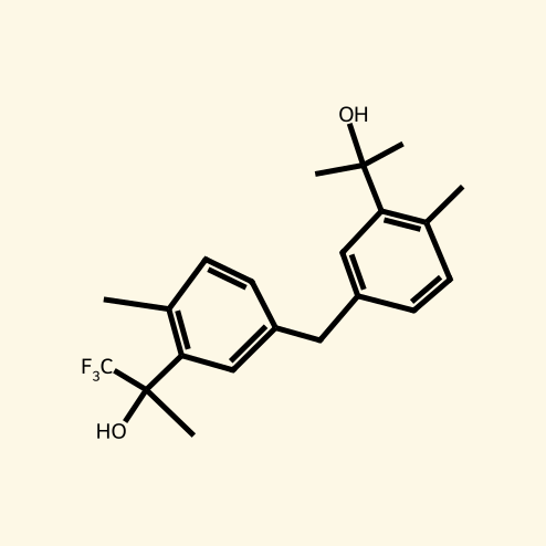 Cc1ccc(Cc2ccc(C)c(C(C)(O)C(F)(F)F)c2)cc1C(C)(C)O